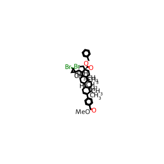 COC(=O)c1ccc(C2=CC[C@]3(C)[C@H]4CC[C@@H]5[C@H]6[C@H]([C@]7(C)CC7(Br)Br)CC[C@]6(C(=O)OCc6ccccc6)CC[C@@]5(C)[C@]4(C)CC[C@H]3C2(C)C)cc1